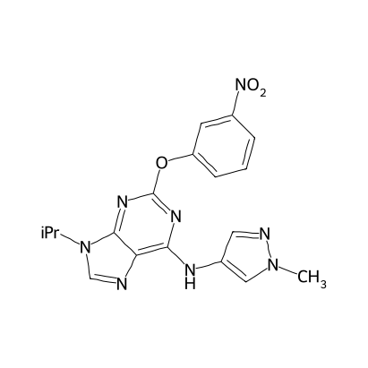 CC(C)n1cnc2c(Nc3cnn(C)c3)nc(Oc3cccc([N+](=O)[O-])c3)nc21